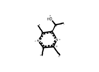 Cc1nc(C)c(C(C)O)nc1C